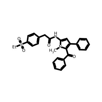 CCS(=O)(=O)c1ccc(CC(=O)Nc2cc(-c3ccccc3)c(C(=O)c3ccccc3)n2C)cc1